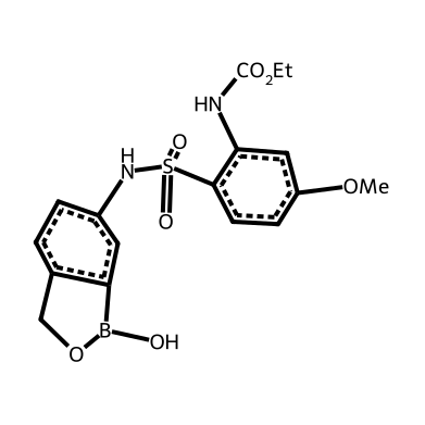 CCOC(=O)Nc1cc(OC)ccc1S(=O)(=O)Nc1ccc2c(c1)B(O)OC2